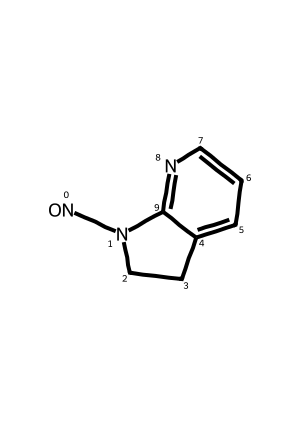 O=NN1CCc2cccnc21